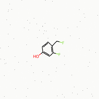 Oc1ccc(CF)c(F)c1